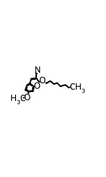 CCCCCCCCOC(=O)C(C#N)=Cc1ccc(OC)cc1